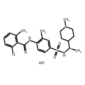 Cc1cc(S(=O)(=O)N[C@H](C)C2CCN(C)CC2)ccc1NC(=O)c1c(C)cccc1Cl.Cl